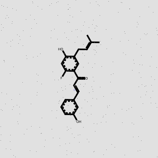 CC(C)=CCc1cc(C(=O)/C=C/c2cccc(O)c2)c(F)cc1O